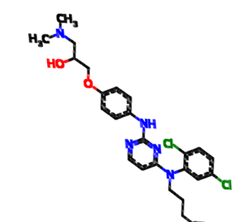 CN(C)CC(O)COc1ccc(Nc2nccc(N(CCCC(F)(F)F)c3cc(Cl)ccc3Cl)n2)cc1